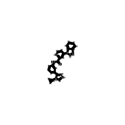 O=C(Nc1cccc(-c2nncn2C2CC2)c1)c1cc(-n2nnc3ccccc32)ccn1